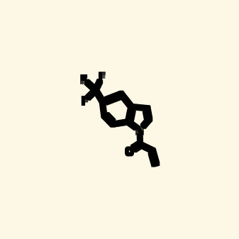 C=CC(=O)n1ccc2cc(C(F)(F)F)ccc21